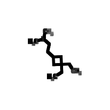 CCC1(CC)CC(CCN(C)C)C1